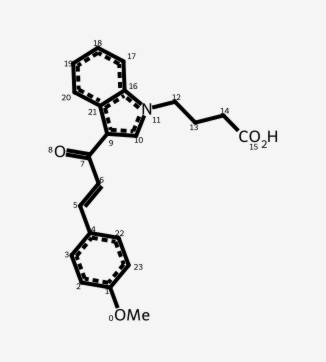 COc1ccc(C=CC(=O)c2cn(CCCC(=O)O)c3ccccc23)cc1